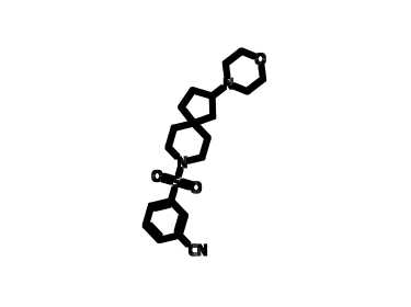 N#Cc1cccc(S(=O)(=O)N2CCC3(CCC(N4CCOCC4)C3)CC2)c1